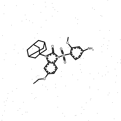 CCOc1ccc2c(c1)n(C13CC4CC(CC(C4)C1)C3)c(=O)n2S(=O)(=O)c1ccc(N)cc1OC